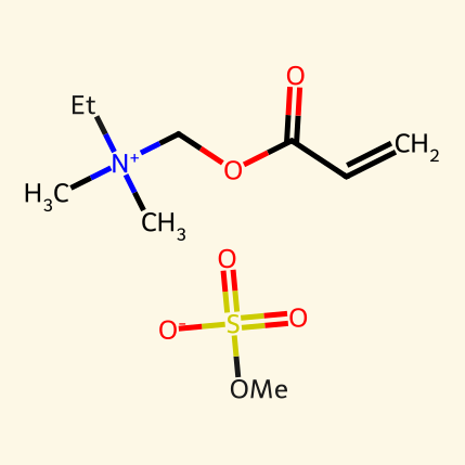 C=CC(=O)OC[N+](C)(C)CC.COS(=O)(=O)[O-]